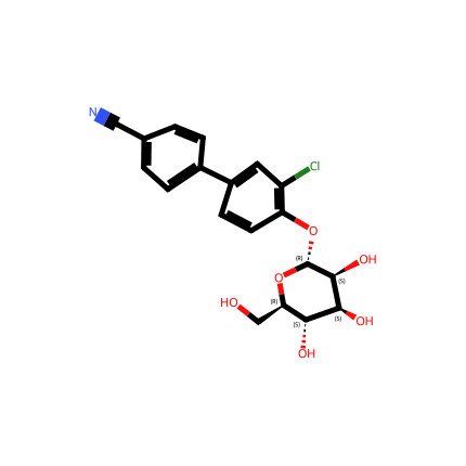 N#Cc1ccc(-c2ccc(O[C@H]3O[C@H](CO)[C@@H](O)[C@H](O)[C@@H]3O)c(Cl)c2)cc1